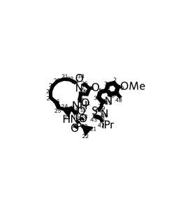 COc1ccc2c(OC3CC4C(=O)NC5(C(=O)NS(=O)(=O)C6CC6)CC5/C=C/CCCCCCC(=O)N4C3)cc(-c3nc(C(C)C)cs3)nc2c1C